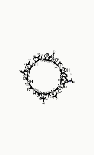 C/C=C/C[C@@H](C)[C@@H](O)[C@H]1C(=O)N[C@@H](CC)C(=O)N(C)C(C(=O)OC)C(=O)N(C)[C@@H](C(C)C)C(=O)N[C@@H](C(C)C)C(=O)N(C)[C@@H](CC(C)C)C(=O)N[C@@H](C)C(=O)N[C@H](C)C(=O)N(C)[C@@H](CC(C)C)C(=O)N(C)[C@@H](CC(C)C)C(=O)N(C)[C@@H](C(C)C)C(=O)N1C